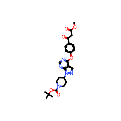 COC(=O)CC(=O)c1ccc(Oc2ncnc3c2cnn3C2CCN(C(=O)OC(C)(C)C)CC2)cc1